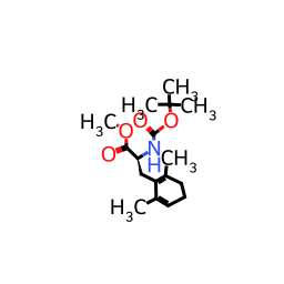 COC(=O)[C@H](CC1=C(C)CCC=C1C)NC(=O)OC(C)(C)C